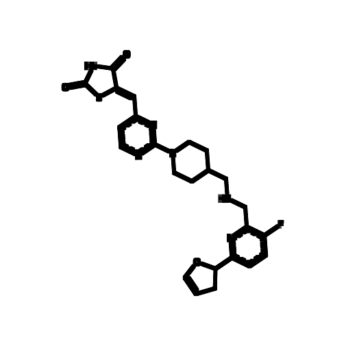 O=C1NC(=O)/C(=C/c2ccnc(N3CCC(CNCc4nc(C5CC=CO5)ccc4F)CC3)n2)S1